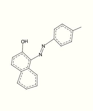 Cc1ccc(/N=N/c2c(O)ccc3ccccc23)cc1